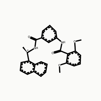 COc1cccc(OC)c1C(=O)Nc1cccc(C(=O)N[C@H](C)c2cccc3ccccc23)c1